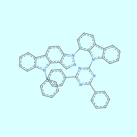 c1ccc(-c2nc(-c3ccccc3)nc(-n3c4ccccc4c4cccc(-n5ncc6c5ccc5c7ccccc7n(-c7ccccc7)c56)c43)n2)cc1